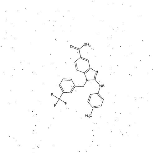 Cc1ccc(Nc2nc3cc(C(N)=O)ccc3n2Cc2cccc(C(F)(F)F)c2)cc1